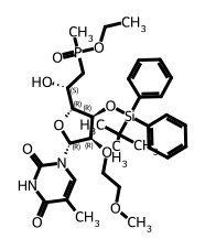 CCOP(C)(=O)C[C@@H](O)[C@H]1O[C@@H](n2cc(C)c(=O)[nH]c2=O)[C@H](OCCOC)[C@@H]1O[Si](c1ccccc1)(c1ccccc1)C(C)(C)C